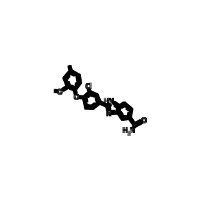 COc1cc(C)ccc1Oc1ccc(-c2nc3cc(C(N)=O)ccc3[nH]2)cc1Cl